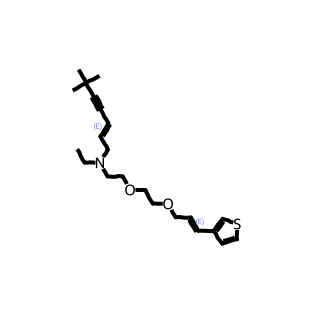 CCN(C/C=C/C#CC(C)(C)C)CCOCCOC/C=C/c1ccsc1